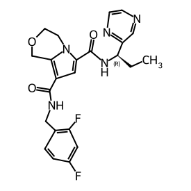 CC[C@@H](NC(=O)c1cc(C(=O)NCc2ccc(F)cc2F)c2n1CCOC2)c1cnccn1